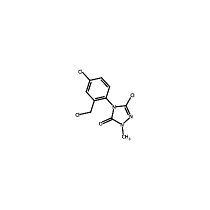 Cn1nc(Cl)n(-c2ccc(Cl)cc2CCl)c1=O